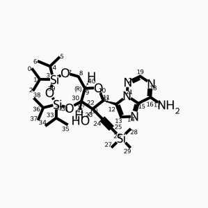 CC(C)[Si]1(C(C)C)OC[C@H]2O[C@@H](c3cnc4c(N)ncnn34)[C@@](O)(C#C[Si](C)(C)C)[C@@H]2O[Si](C(C)C)(C(C)C)O1